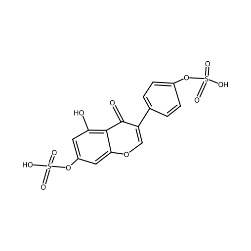 O=c1c(-c2ccc(OS(=O)(=O)O)cc2)coc2cc(OS(=O)(=O)O)cc(O)c12